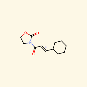 O=C(/C=C/C1CCCCC1)N1CCOC1=O